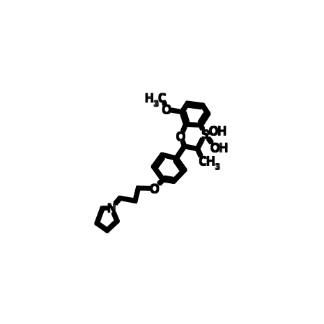 COc1cccc2c1OC(c1ccc(OCCCN3CCCC3)cc1)C(C)S2(O)O